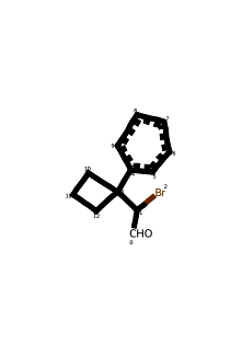 O=CC(Br)C1(c2ccccc2)CCC1